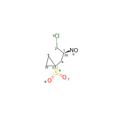 O=N[C@H](CCl)CC1([SH](=O)=O)CC1